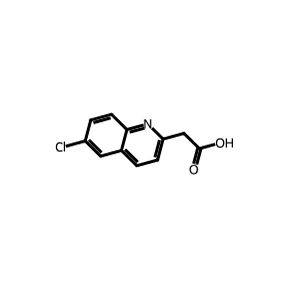 O=C(O)Cc1ccc2cc(Cl)ccc2n1